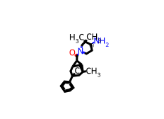 CC12CC3CC(c4ccccc4)(CC1C3C(=O)N1CC[C@H](N)C(C)(C)C1)C2